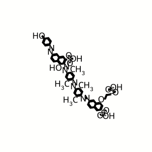 Cc1cc(N=Nc2cc(C)c(N=Nc3c(S(=O)(=O)O)cc4cc(N=Nc5ccc(O)cc5)ccc4c3O)cc2C)c(C)cc1N=Nc1ccc2cc(S(=O)(=O)O)cc(OCCCS(=O)(=O)O)c2c1